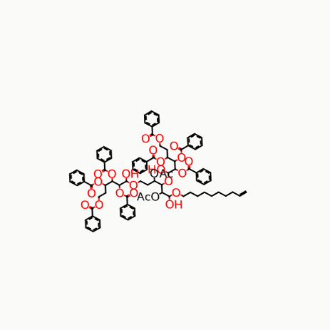 C=CCCCCCCCCOC(O)C(OC(C)=O)C(OC(O)C(OC(=O)c1ccccc1)C(OC(=O)c1ccccc1)C(CCOC(=O)c1ccccc1)OC(=O)c1ccccc1)C(CCOC(O)C(OC(=O)c1ccccc1)C(OC(=O)c1ccccc1)C(CCOC(=O)c1ccccc1)OC(=O)c1ccccc1)OC(C)=O